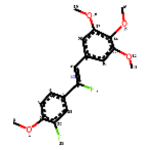 COc1ccc(/C(F)=C/c2cc(OC)c(OC)c(OC)c2)cc1F